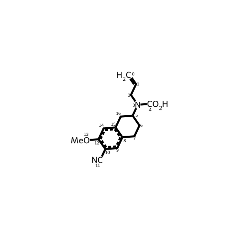 C=CCN(C(=O)O)C1CCc2cc(C#N)c(OC)cc2C1